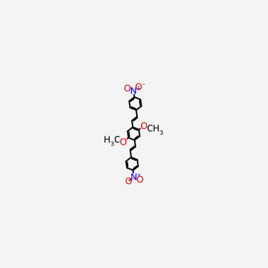 COc1cc(C=Cc2ccc([N+](=O)[O-])cc2)c(OC)cc1C=Cc1ccc([N+](=O)[O-])cc1